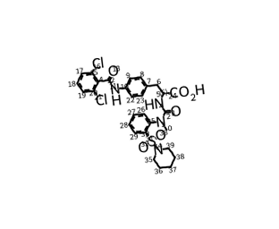 CN(C(=O)N[C@@H](Cc1ccc(NC(=O)c2c(Cl)cccc2Cl)cc1)C(=O)O)c1ccccc1S(=O)(=O)N1CCCCC1